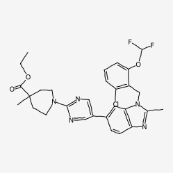 CCOC(=O)C1(C)CCN(c2ncc(-c3ccc4nc(C)n(Cc5c(Cl)cccc5OC(F)F)c4c3)cn2)CC1